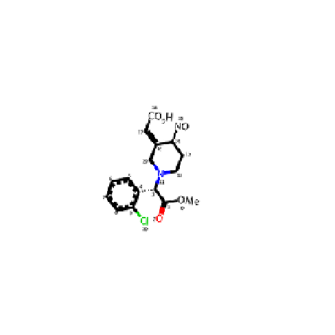 COC(=O)[C@H](c1ccccc1Cl)N1CC[C@H](N=O)/C(=C\C(=O)O)C1